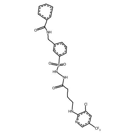 O=C(CCCNc1ncc(C(F)(F)F)cc1Cl)NNS(=O)(=O)c1cccc(CNC(=O)c2ccccc2)c1